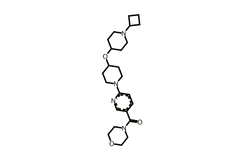 O=C(c1ccc(N2CCC(OC3CCN(C4CCC4)CC3)CC2)nc1)N1CCOCC1